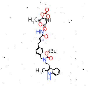 Cc1[nH]c2ccccc2c1CCN(Cc1ccc(C/C=C/C(=O)NO[C@H]2C[C@@H]3OC(=O)OC3[C@H](C)O2)cc1)C(=O)OC(C)(C)C